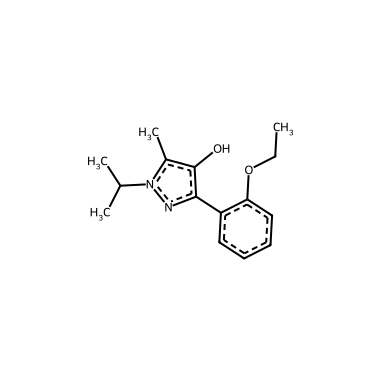 CCOc1ccccc1-c1nn(C(C)C)c(C)c1O